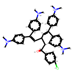 CN(C)c1ccc(C(=CC(C=C(c2ccc(N(C)C)cc2)c2ccc(N(C)C)cc2)CC(=O)c2ccc(Cl)cc2)c2ccc(N(C)C)cc2)cc1